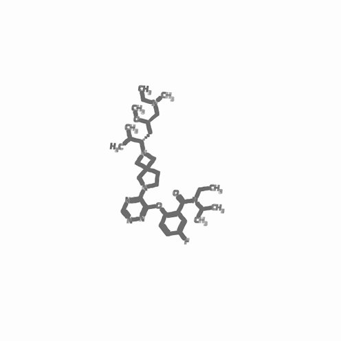 CCN(C)C[C@@H](C[C@@H](C(C)C)N1CC2(CCN(c3ncnnc3Oc3ccc(F)cc3C(=O)N(CC)C(C)C)C2)C1)OC